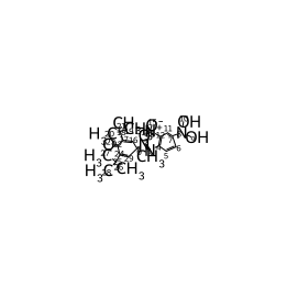 CC1(N=Nc2ccc(N(O)O)cc2[N+](=O)[O-])C=C(C(C)(C)C)C(=O)C(C(C)(C)C)=C1